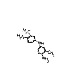 Cc1cc(Nc2ccc(N)c(C)c2)ccc1N